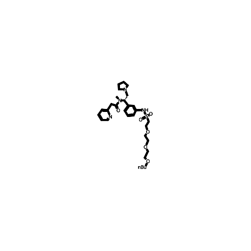 CCCCOCCOCCOCCS(=O)(=O)Nc1cccc([C@@H](CN2CCCC2)N(C)C(=O)Cc2ccccn2)c1